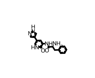 N[C@@H](Cc1ccccc1)C(=O)Nc1cc(-c2cn[nH]c2)c[nH]c1=O